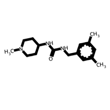 Cc1cc(C)cc(CNC(=O)NC2CCN(C)CC2)c1